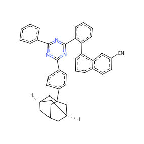 N#Cc1ccc2cccc(-c3ccccc3-c3nc(-c4ccccc4)nc(-c4ccc(C56CC7C[C@H](C5)C[C@@H](C7)C6)cc4)n3)c2c1